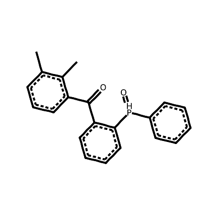 Cc1cccc(C(=O)c2ccccc2[PH](=O)c2ccccc2)c1C